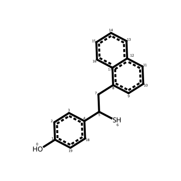 Oc1ccc(C(S)Cc2cccc3ccccc23)cc1